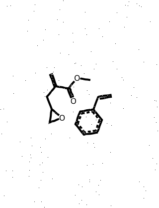 C=C(CC1CO1)C(=O)OC.C=Cc1ccccc1